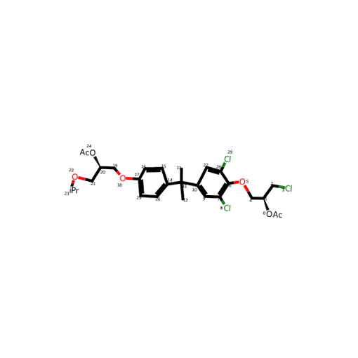 CC(=O)O[C@H](CCl)COc1c(Cl)cc(C(C)(C)c2ccc(OC[C@@H](COC(C)C)OC(C)=O)cc2)cc1Cl